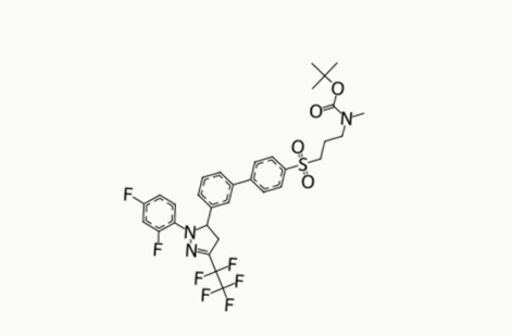 CN(CCCS(=O)(=O)c1ccc(-c2cccc(C3CC(C(F)(F)C(F)(F)F)=NN3c3ccc(F)cc3F)c2)cc1)C(=O)OC(C)(C)C